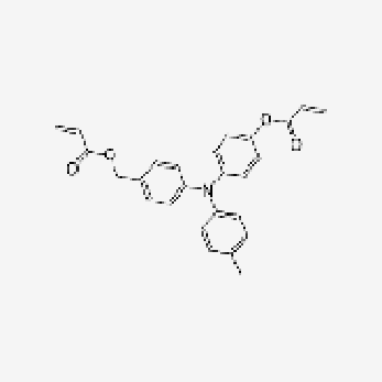 C=CC(=O)OCc1ccc(N(c2ccc(C)cc2)c2ccc(OC(=O)C=C)cc2)cc1